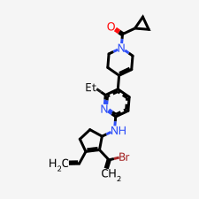 C=CC1=C(C(=C)Br)C(Nc2ccc(C3=CCN(C(=O)C4CC4)CC3)c(CC)n2)CC1